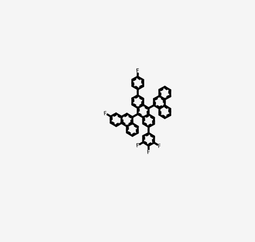 Fc1ccc(-c2ccc3c(-c4cc5cc(F)ccc5c5ccccc45)c4cc(-c5cc(F)c(F)c(F)c5)ccc4c(-c4cc5ccccc5c5ccccc45)c3c2)cc1